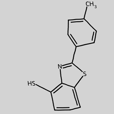 Cc1ccc(-c2nc3c(S)cccc3s2)cc1